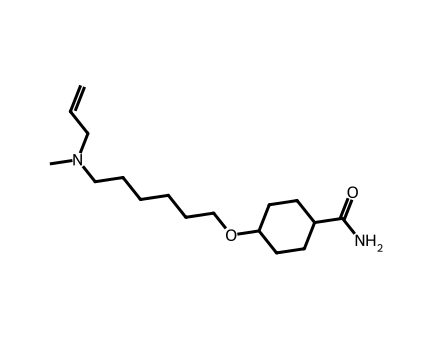 C=CCN(C)CCCCCCOC1CCC(C(N)=O)CC1